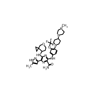 Cc1cc(-c2nc(C(N)=O)c(Nc3ccc(N4CCC(N5CCN(C)CC5)CC4)c(OC(F)(F)F)c3)nc2NC2CCOCC23CC3)n[nH]1